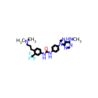 CNc1ncnc2c1ncn2-c1ccc(NC(=O)Nc2ccc(CCCN(C)C)c(C(F)(F)F)c2)cc1